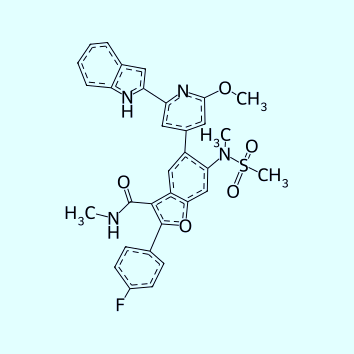 CNC(=O)c1c(-c2ccc(F)cc2)oc2cc(N(C)S(C)(=O)=O)c(-c3cc(OC)nc(-c4cc5ccccc5[nH]4)c3)cc12